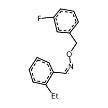 CCc1ccccc1/[C]=N\OCc1cccc(F)c1